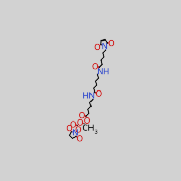 CC(OC(=O)CCCCCNC(=O)CCCCCNC(=O)CCCCCN1C(=O)C=CC1=O)OC(=O)ON1C(=O)CCC1=O